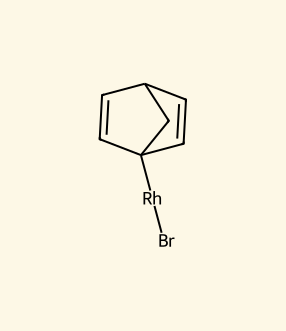 [Br][Rh][C]12C=CC(C=C1)C2